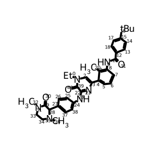 CCn1cc(-c2cccc(NC(=O)c3ccc(C(C)(C)C)cc3)c2C)nc(Nc2ccc(C3C(=O)N(C)CCN3C)cc2)c1=O